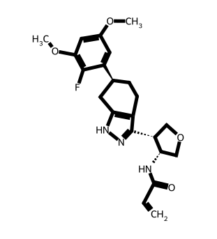 C=CC(=O)N[C@H]1COC[C@H]1c1n[nH]c2c1CC[C@H](c1cc(OC)cc(OC)c1F)C2